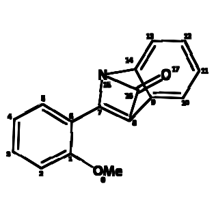 COc1ccccc1-c1c2c3ccccc3n1C2=O